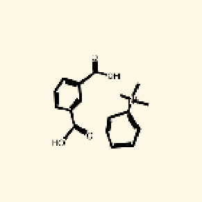 C[N+](C)(C)c1ccccc1.O=C(O)c1cccc(C(=O)O)c1